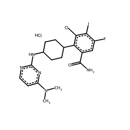 CN(C)c1ccnc(NC2CCC(c3c(C(N)=O)cc(F)c(I)c3Cl)CC2)n1.Cl